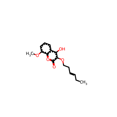 CC/C=C/CCOc1c(O)c2cccc(OC)c2oc1=O